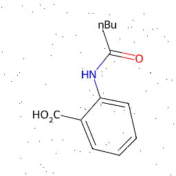 CCCCC(=O)Nc1ccccc1C(=O)O